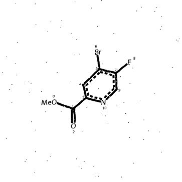 COC(=O)c1cc(Br)c(F)cn1